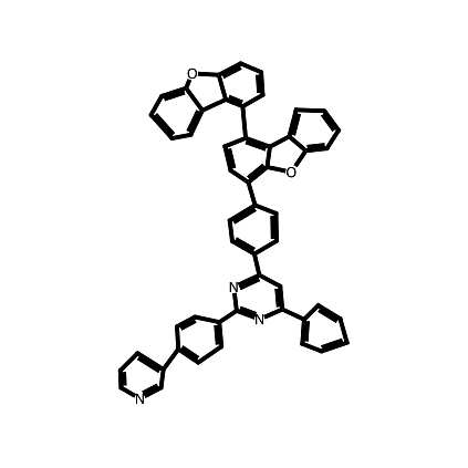 c1ccc(-c2cc(-c3ccc(-c4ccc(-c5cccc6oc7ccccc7c56)c5c4oc4ccccc45)cc3)nc(-c3ccc(-c4cccnc4)cc3)n2)cc1